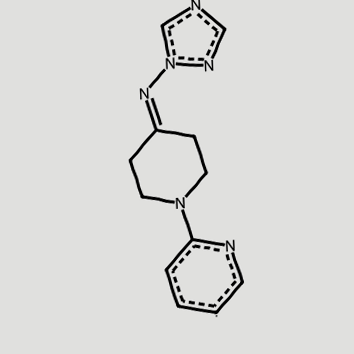 [c]1ccc(N2CCC(=Nn3cncn3)CC2)nc1